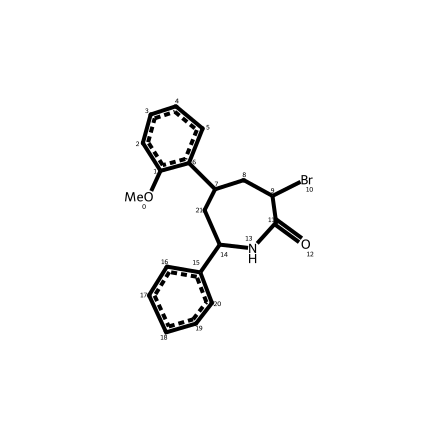 COc1ccccc1C1CC(Br)C(=O)NC(c2ccccc2)C1